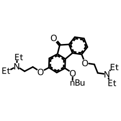 CCCCOc1cc(OCCN(CC)CC)cc2c1-c1c(OCCN(CC)CC)cccc1C2=O